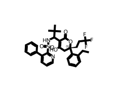 CCc1ccccc1[C@]1(CCC(F)(F)F)CC(O)=C(C(NS(=O)(=O)c2ncccc2-c2ccccc2)C(C)(C)C)C(=O)O1